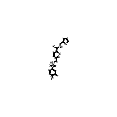 O=C(NCc1cccs1)c1ccc(CNS(=O)(=O)c2ccc(F)c(Cl)c2)nn1